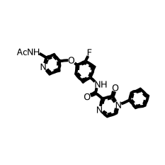 CC(=O)Nc1cc(Oc2ccc(NC(=O)c3nccn(-c4ccccc4)c3=O)cc2F)ccn1